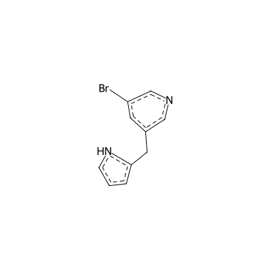 Brc1cncc(Cc2ccc[nH]2)c1